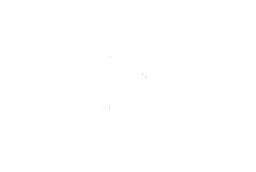 BCS(N)(=O)=O